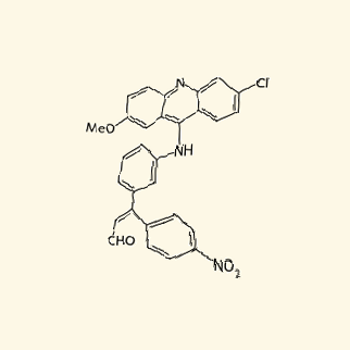 COc1ccc2nc3cc(Cl)ccc3c(Nc3cccc(C(=CC=O)c4ccc([N+](=O)[O-])cc4)c3)c2c1